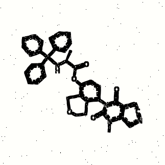 C[C@H](NC(c1ccccc1)(c1ccccc1)c1ccccc1)C(=O)Oc1ccc(-n2c(=O)c3ccncc3n(C)c2=O)c2c1COCC2